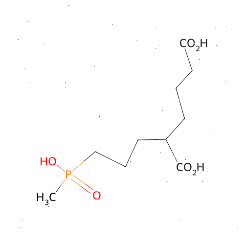 CP(=O)(O)CCCC(CCCC(=O)O)C(=O)O